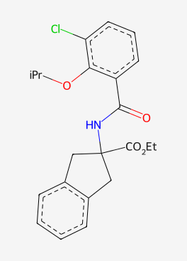 CCOC(=O)C1(NC(=O)c2cccc(Cl)c2OC(C)C)Cc2ccccc2C1